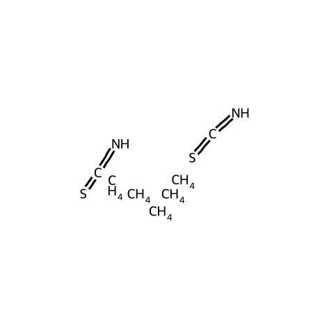 C.C.C.C.C.N=C=S.N=C=S